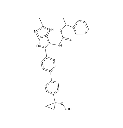 Cc1nc2oc(-c3ccc(-c4ccc(C5(OC=O)CC5)cc4)cc3)c(NC(=O)OC(C)c3ccccc3)c2[nH]1